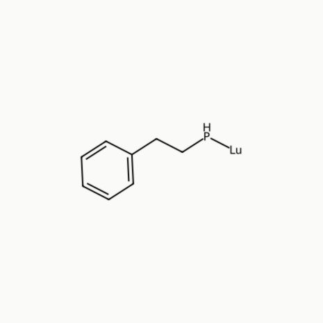 [Lu][PH]CCc1ccccc1